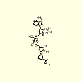 NC(=S)c1ccc[n+](C2OC(COP(=O)([O-])OP(=O)(O)OCC3OC(n4cnc5c(N)ncnc54)C(OP(=O)(O)O)C3O)C(O)C2O)c1